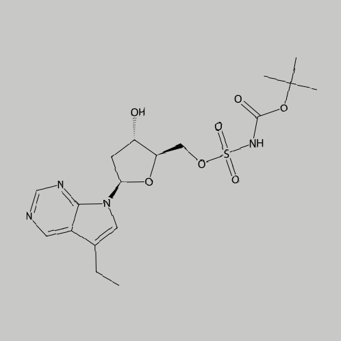 CCc1cn([C@H]2C[C@H](O)[C@@H](COS(=O)(=O)NC(=O)OC(C)(C)C)O2)c2ncncc12